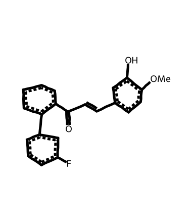 COc1ccc(/C=C/C(=O)c2ccccc2-c2cccc(F)c2)cc1O